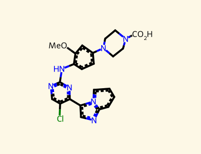 COc1cc(N2CCN(C(=O)O)CC2)ccc1Nc1ncc(Cl)c(-c2cnc3ccccn23)n1